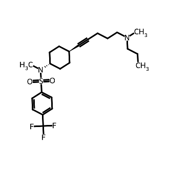 CCCN(C)CCCC#C[C@H]1CC[C@H](N(C)S(=O)(=O)c2ccc(C(F)(F)F)cc2)CC1